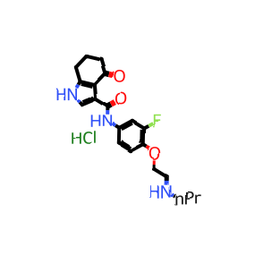 CCCNCCOc1ccc(NC(=O)c2c[nH]c3c2C(=O)CCC3)cc1F.Cl